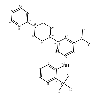 CN(C)c1cc(Nc2ccccc2C(C)(C)C)nc(N2CCN(c3ccccn3)CC2)n1